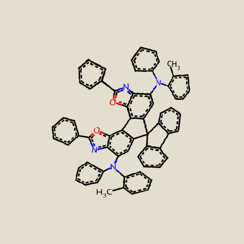 Cc1ccccc1N(c1ccccc1)c1cc2c(c3oc(-c4ccccc4)nc13)-c1c(cc(N(c3ccccc3)c3ccccc3C)c3nc(-c4ccccc4)oc13)C21c2ccccc2-c2ccccc21